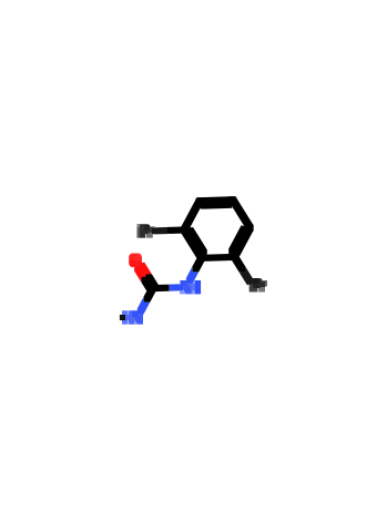 CC(C)c1cccc(C(C)C)c1NC([NH])=O